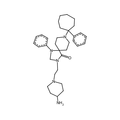 NC1CCN(CCN2CN(c3ccccc3)C3(CCN(C4(c5ccccc5)CCCCCC4)CC3)C2=O)CC1